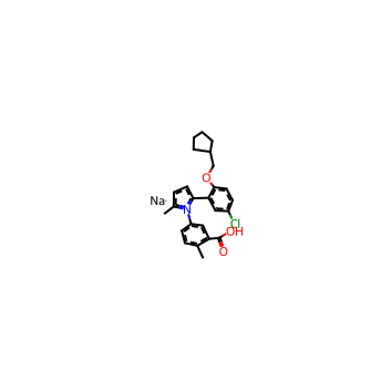 Cc1ccc(-n2c(C)ccc2-c2cc(Cl)ccc2OCC2CCCC2)cc1C(=O)O.[Na]